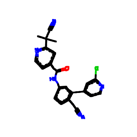 CC(C)(C#N)c1cc(C(=O)Nc2ccc(C#N)c(-c3ccnc(Cl)c3)c2)ccn1